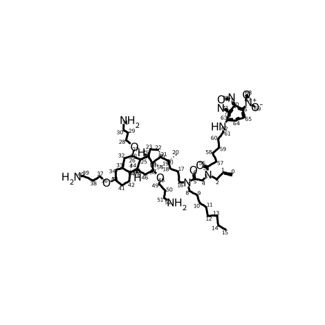 C=CCN(CC(=O)N(CCCCCCCC)CCC[C@@H](C)[C@H]1CC[C@H]2C3[C@H](OCCCN)CC4C[C@H](OCCCN)CC[C@]4(C)[C@H]3C[C@H](OCCCN)[C@]12C)C(=O)CCCCCNc1ccc([N+](=O)[O-])c2nonc12